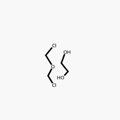 ClCOCCl.OCCO